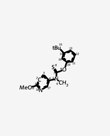 COc1ccc(N(C)C(=S)Oc2cccc(C(C)(C)C)c2)cn1